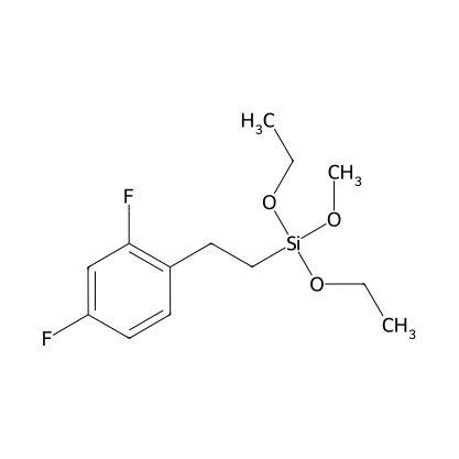 CCO[Si](CCc1ccc(F)cc1F)(OC)OCC